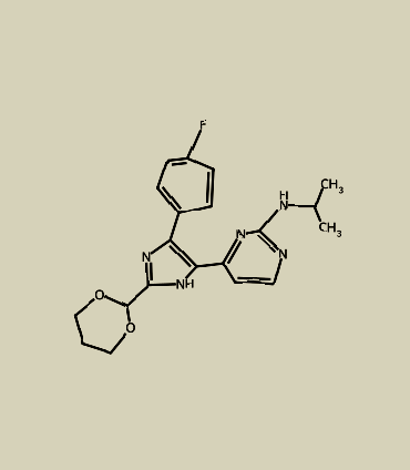 CC(C)Nc1nccc(-c2[nH]c(C3OCCCO3)nc2-c2ccc(F)cc2)n1